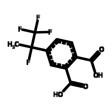 CC(F)(c1ccc(C(=O)O)c(C(=O)O)c1)C(F)(F)F